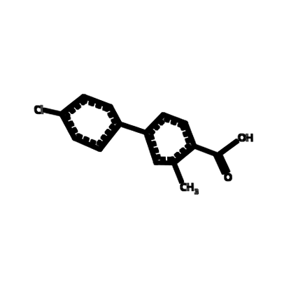 Cc1cc(-c2ccc(Cl)cc2)ccc1C(=O)O